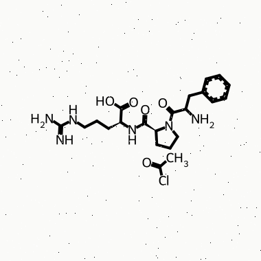 CC(=O)Cl.N=C(N)NCCC[C@H](NC(=O)[C@@H]1CCCN1C(=O)C(N)Cc1ccccc1)C(=O)O